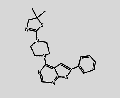 CC1(C)CN=C(N2CCN(c3ncnc4sc(-c5ccccc5)cc34)CC2)S1